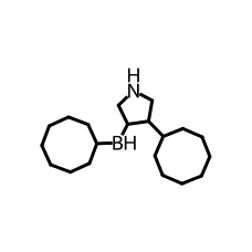 B(C1CCCCCCC1)C1CNCC1C1CCCCCCC1